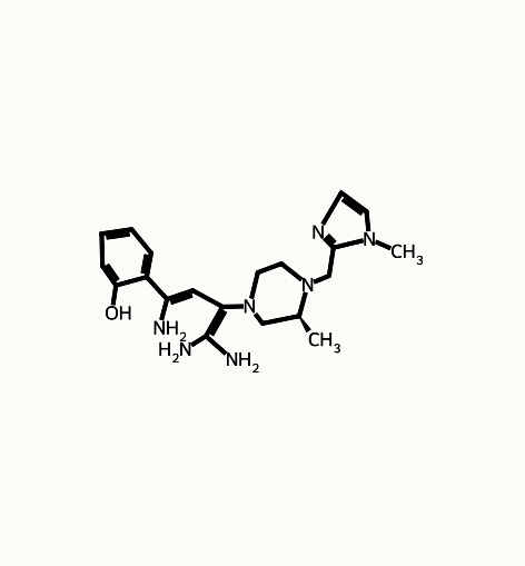 C[C@H]1CN(C(/C=C(\N)c2ccccc2O)=C(N)N)CCN1Cc1nccn1C